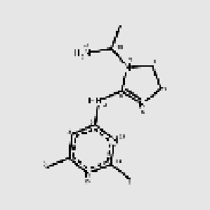 Cc1cc(NC2=NCCN2C(C)N)nc(C)n1